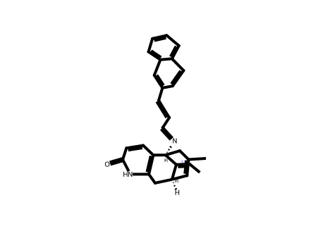 C/C=C1\[C@H]2C=C(C)C[C@]1(N=CC=Cc1ccc3ccccc3c1)c1ccc(=O)[nH]c1C2